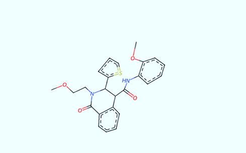 COCCN1C(=O)c2ccccc2C(C(=O)Nc2ccccc2OC)C1c1cccs1